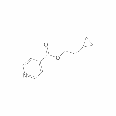 O=C(OCCC1CC1)c1ccncc1